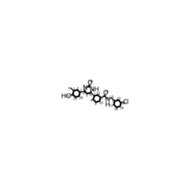 Cc1cc(-c2cc(-c3cccc(C(=O)NCc4cccc(Cl)c4)c3)[nH]c(=O)n2)ccc1O